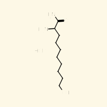 CCCCCCCCCC(N)C(N)=O.Cl